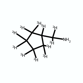 [2H]C([2H])(N)C1([2H])C([2H])([2H])C([2H])([2H])C([2H])([2H])C1([2H])[2H]